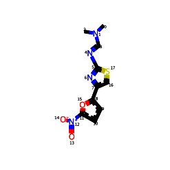 CN(C)/C=N/c1nc(-c2ccc([N+](=O)[O-])o2)cs1